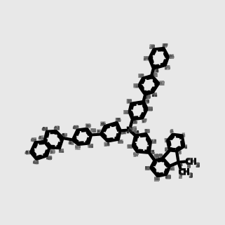 CC1(C)c2ccccc2-c2c(-c3ccc(N(c4ccc(-c5ccc(-c6ccccc6)cc5)cc4)c4ccc(-c5ccc(-c6ccc7ccccc7c6)cc5)cc4)cc3)cccc21